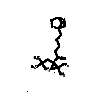 CC(C)(C)CC1(C(=O)OCOCC23CCC(CC2)C3)CC1(C)C